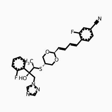 C[C@@H](S[C@H]1CO[C@H](C=CC=Cc2ccc(C#N)cc2F)OC1)[C@](O)(Cn1cncn1)c1ccccc1F